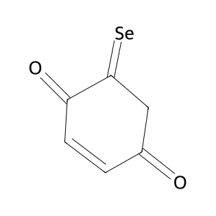 O=C1C=CC(=O)C(=[Se])C1